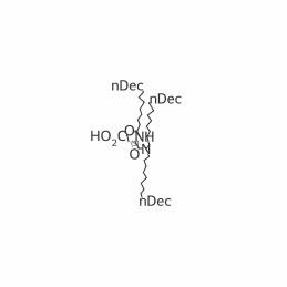 CCCCCCCCCCCCCCCCCCN(CCCCCCCCCCCCCCCCCC)C(=O)[C@H](CCC(=O)O)NC(=O)CCCCCCCCCCCCCCCCC